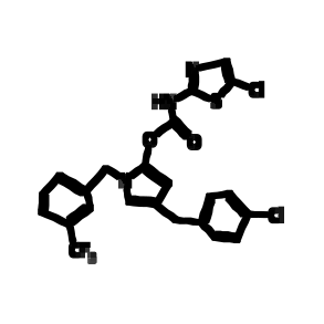 O=C(Nc1ncc(Cl)s1)Oc1cc(Cc2ccc(Cl)cc2)cn1Cc1cccc(C(F)(F)F)c1